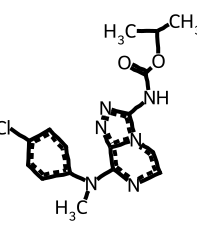 CC(C)OC(=O)Nc1nnc2c(N(C)c3ccc(Cl)cc3)nccn12